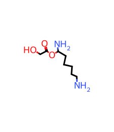 NCCCCCC(N)OC(=O)CO